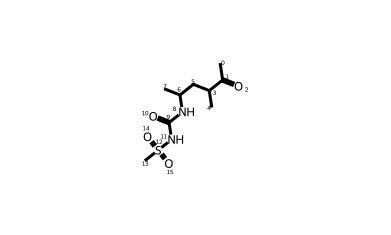 CC(=O)C(C)CC(C)NC(=O)NS(C)(=O)=O